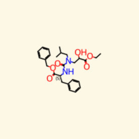 CCOC(=O)C(O)CN(CC(C)C)C(=O)N[C@@H](Cc1ccccc1)C(=O)OCc1ccccc1